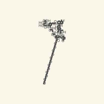 CC[C@@]1(O)C(=O)OCc2c1cc1n(c2=O)Cc2c-1nc1cc(F)c(C)c3c1c2[C@@H](NC(=O)OCc1ccc(O[C@@H]2O[C@H](C(=O)O)[C@@H](O)[C@H](O)[C@H]2O)c(CNC(=O)CCNC(=O)COC2(CNC(=O)CCN4C(=O)C=CC4=O)CN(C(=O)CCOCCOCCOCCOCCOCCOCCOCCOCCOCCOCCOCCOC)C2)c1)CC3